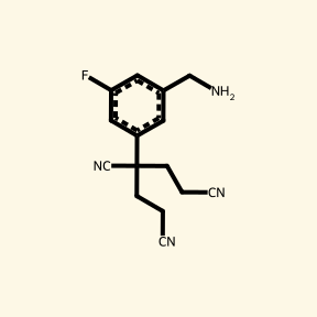 N#CCCC(C#N)(CCC#N)c1cc(F)cc(CN)c1